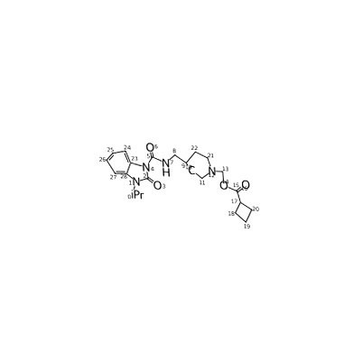 CC(C)n1c(=O)n(C(=O)NCC2CCN(COC(=O)C3CCC3)CC2)c2ccccc21